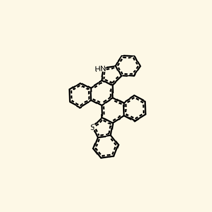 c1ccc2c(c1)[nH]c1c3ccccc3c3c4sc5ccccc5c4c4ccccc4c3c21